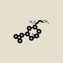 C=C/C=C\C=C(/C)c1cc(-c2ccccc2)cc(-c2cccc(-c3cc(-c4ccc5c6ccccc6c6ccccc6c5c4)cc(-c4cccc5c4sc4ccccc45)c3)c2)c1